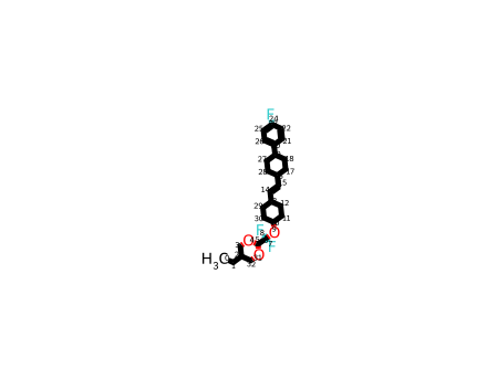 CCC1COC(C(F)(F)OC2CCC(/C=C/C3CCC(c4ccc(F)cc4)CC3)CC2)OC1